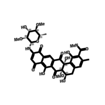 CNC(=O)c1c(C)cc2c(c1O)[C@]1(O)C(=O)c3cc4c(c(O)c3C(=O)[C@]1(OC)[C@H](O)C2)C(=O)C=C(N[C@H]1O[C@@H](C)[C@H](OC)[C@@H](O)[C@H]1OC)C4=O